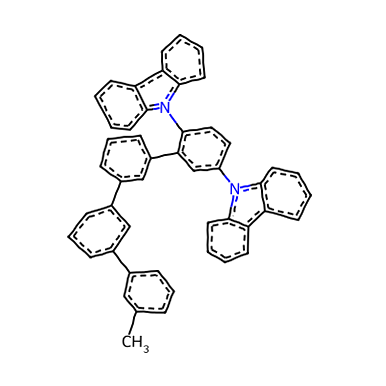 Cc1cccc(-c2cccc(-c3cccc(-c4cc(-n5c6ccccc6c6ccccc65)ccc4-n4c5ccccc5c5ccccc54)c3)c2)c1